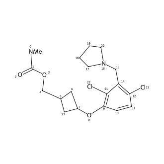 CNC(=O)OCC1CC(Oc2ccc(Cl)c(CN3CCCC3)c2Cl)C1